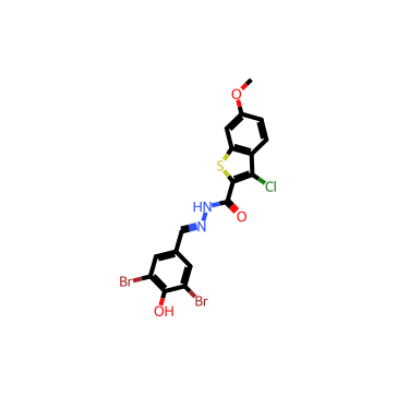 COc1ccc2c(Cl)c(C(=O)NN=Cc3cc(Br)c(O)c(Br)c3)sc2c1